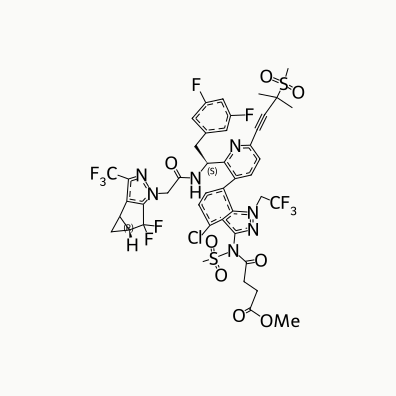 COC(=O)CCC(=O)N(c1nn(CC(F)(F)F)c2c(-c3ccc(C#CC(C)(C)S(C)(=O)=O)nc3[C@H](Cc3cc(F)cc(F)c3)NC(=O)Cn3nc(C(F)(F)F)c4c3C(F)(F)[C@@H]3CC43)ccc(Cl)c12)S(C)(=O)=O